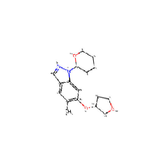 Cc1cc2cnn(C3CCCCO3)c2cc1O[C@@H]1CCOC1